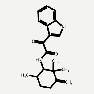 C=C1CCC(C)C(NC(=O)C(=O)c2c[nH]c3ccccc23)C1(C)C